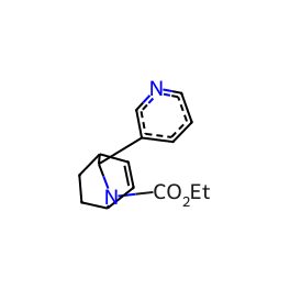 CCOC(=O)N1C2C=CC(CC2)C1c1cccnc1